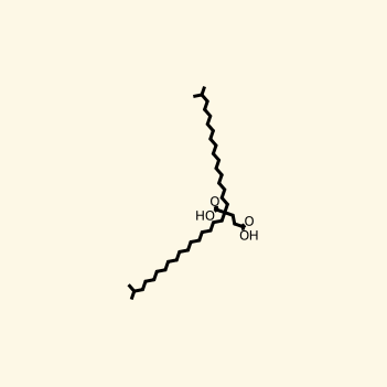 CC(C)CCCCCCCCCCCCCCCC(CCCCCCCCCCCCCCCC(C)C)(CCC(=O)O)C(=O)O